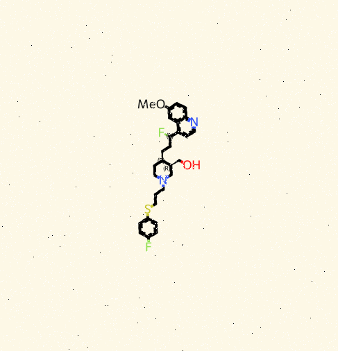 COc1ccc2nccc([C@H](F)CC[C@@H]3CCN(CCCSc4ccc(F)cc4)C[C@@H]3CO)c2c1